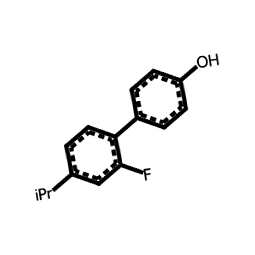 CC(C)c1ccc(-c2ccc(O)cc2)c(F)c1